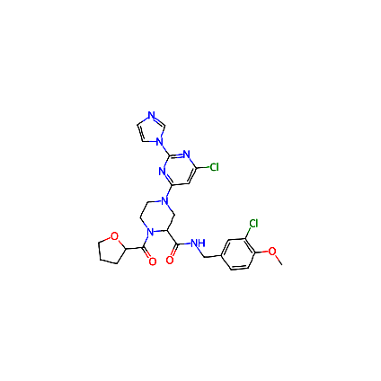 COc1ccc(CNC(=O)C2CN(c3cc(Cl)nc(-n4ccnc4)n3)CCN2C(=O)C2CCCO2)cc1Cl